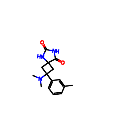 Cc1cccc(C2(N(C)C)CC3(C2)NC(=O)NC3=O)c1